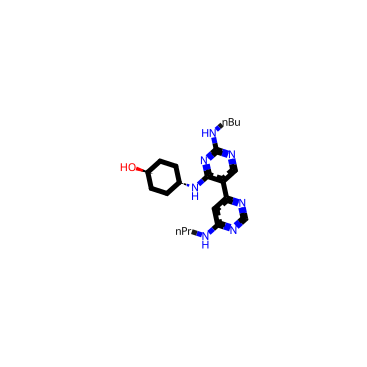 CCCCNc1ncc(-c2cc(NCCC)ncn2)c(N[C@H]2CC[C@H](O)CC2)n1